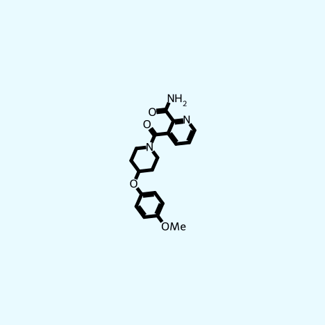 COc1ccc(OC2CCN(C(=O)c3cccnc3C(N)=O)CC2)cc1